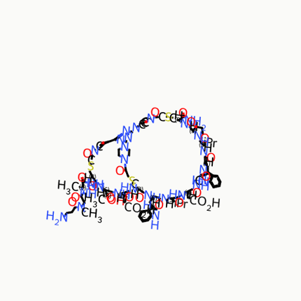 CC(C)[C@@H]1NC(=O)[C@H](Cc2c[nH]c3ccccc23)NC(=O)[C@@H]2CSCC(=O)N3CCN(CC3)c3nc(nc(n3)N3CCN(CC3)C(=O)CSC[C@@H](C(N)=O)NC(=O)[C@@H]3CCCN3C(=O)[C@H](C(C)C)NC(=O)[C@H](Cc3c[nH]c4ccccc34)NC(=O)CNC(=O)[C@H](CC(=O)O)NC1=O)C1CCN(CC1)C(=O)CSC[C@H](NC(=O)[C@H](C)NC(=O)CN(C)C(=O)CCN)C(=O)N[C@@H]([C@@H](C)O)C(=O)N[C@@H](CCC(=O)O)C(=O)N2